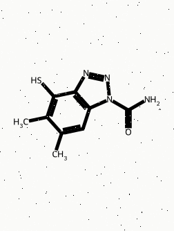 Cc1cc2c(nnn2C(N)=O)c(S)c1C